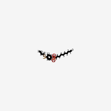 C=CCCCCCCCCS(=O)(=O)c1ccc(SCCCC)cc1